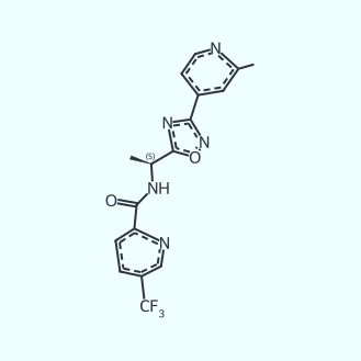 Cc1cc(-c2noc([C@H](C)NC(=O)c3ccc(C(F)(F)F)cn3)n2)ccn1